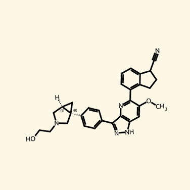 COc1cc2[nH]nc(-c3ccc([C@@]45C[C@@H]4CN(CCO)C5)cc3)c2nc1-c1cccc2c1CCC2C#N